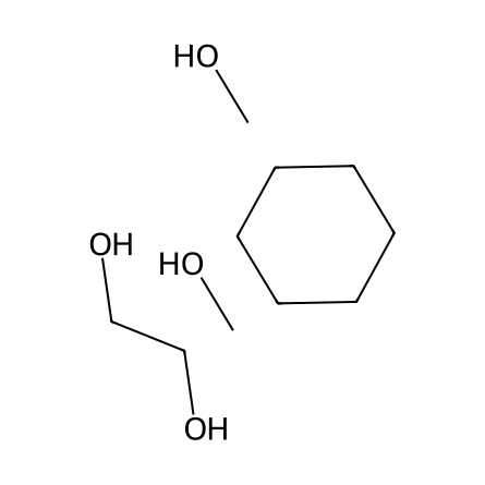 C1CCCCC1.CO.CO.OCCO